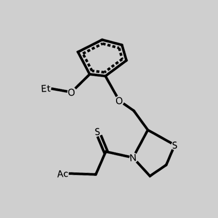 CCOc1ccccc1OCC1SCCN1C(=S)CC(C)=O